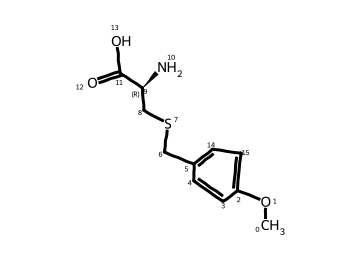 COc1ccc(CSC[C@H](N)C(=O)O)cc1